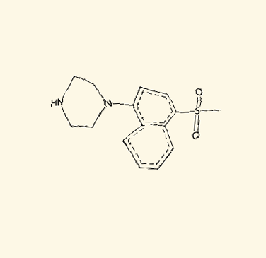 CS(=O)(=O)c1ccc(N2CCNCC2)c2ccccc12